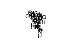 N#Cc1cnc2c(Cl)cc(NC(C3=CN(C4CCNC4)NN3)c3ccc(F)cc3)cc2c1Nc1ccc(F)c(Cl)c1